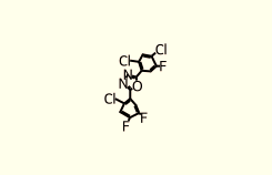 Fc1cc(Cl)c(-c2nnc(-c3cc(F)c(Cl)cc3Cl)o2)cc1F